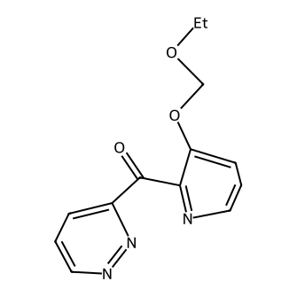 CCOCOc1cccnc1C(=O)c1cccnn1